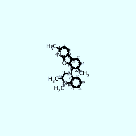 Cc1ccc2c(n1)oc1c(N3C[C@H](C)N(C)c4ccccc43)c(C)ccc12